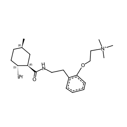 CC(C)[C@@H]1CC[C@@H](C)C[C@H]1C(=O)NCCc1ccccc1OCC[N+](C)(C)C